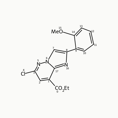 CCOC(=O)c1cc(Cl)nn2cc(-c3ccccc3OC)nc12